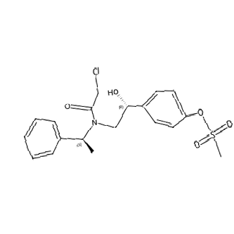 C[C@@H](c1ccccc1)N(C[C@H](O)c1ccc(OS(C)(=O)=O)cc1)C(=O)CCl